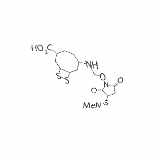 CNSC1CC(=O)N(OCNC2CCC(C(=O)O)CC3SSC3C2)C1=O